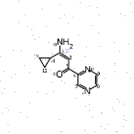 N/C(=C/C(=O)c1cnccn1)C1CC1